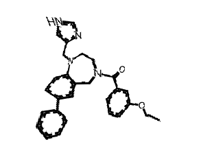 CCOc1cccc(C(=O)N2CCN(Cc3c[nH]cn3)c3ccc(-c4ccccc4)cc3C2)c1